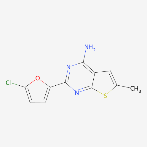 Cc1cc2c(N)nc(-c3ccc(Cl)o3)nc2s1